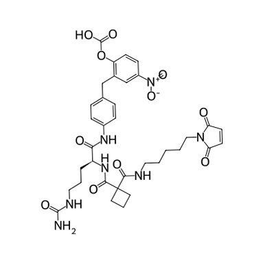 NC(=O)NCCC[C@H](NC(=O)C1(C(=O)NCCCCCN2C(=O)C=CC2=O)CCC1)C(=O)Nc1ccc(Cc2cc([N+](=O)[O-])ccc2OC(=O)O)cc1